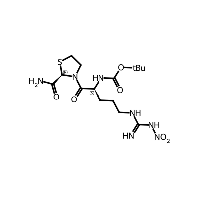 CC(C)(C)OC(=O)N[C@@H](CCCNC(=N)N[N+](=O)[O-])C(=O)N1CCS[C@@H]1C(N)=O